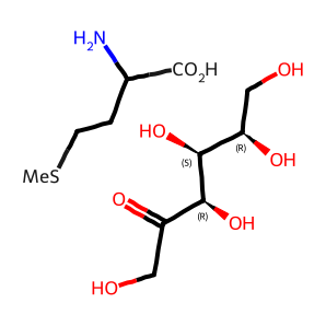 CSCCC(N)C(=O)O.O=C(CO)[C@H](O)[C@@H](O)[C@H](O)CO